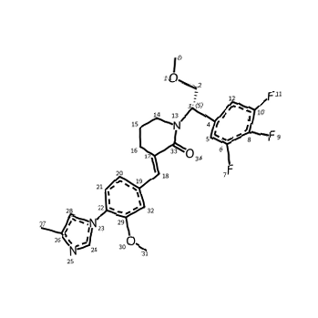 COC[C@H](c1cc(F)c(F)c(F)c1)N1CCCC(=Cc2ccc(-n3cnc(C)c3)c(OC)c2)C1=O